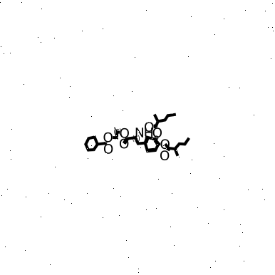 CCCC(C)C(=O)Oc1ccc(C[C@H](N)C(=O)O[C@@H](C)COC(=O)C2CCCCC2)cc1OC(=O)C(C)CCC